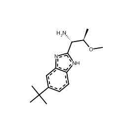 CO[C@H](C)[C@@H](N)c1nc2cc(C(C)(C)C)ccc2[nH]1